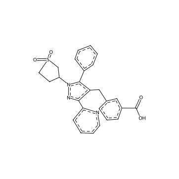 O=C(O)c1cccc(Cc2c(-c3ccccn3)nn(C3CCS(=O)(=O)C3)c2-c2ccccc2)c1